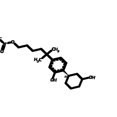 CC(C)(CCCCO[N+](=O)[O-])c1ccc([C@H]2CCCC(O)C2)c(O)c1